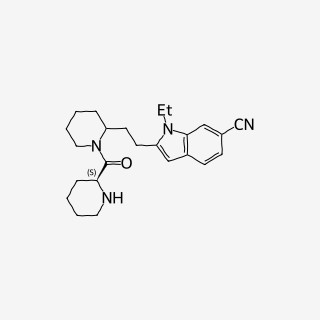 CCn1c(CCC2CCCCN2C(=O)[C@@H]2CCCCN2)cc2ccc(C#N)cc21